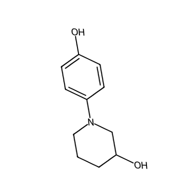 Oc1ccc(N2CCCC(O)C2)cc1